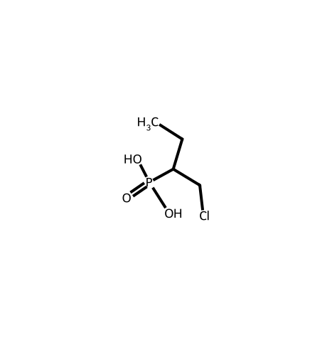 CCC(CCl)P(=O)(O)O